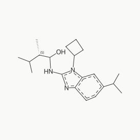 CC(C)c1ccc2nc(NC(O)[C@@H](C)C(C)C)n(C3CCC3)c2c1